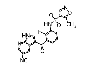 [C-]#[N+]c1cnc2[nH]cc(C(=O)c3cccc(NS(=O)(=O)c4cnoc4C)c3F)c2c1